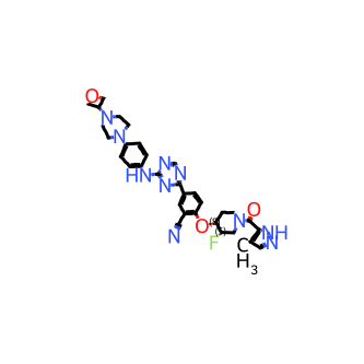 Cc1cn[nH]c1C(=O)N1CC[C@H](Oc2ccc(-c3ncnc(Nc4ccc(N5CCN(C6COC6)CC5)cc4)n3)cc2C#N)[C@@H](F)C1